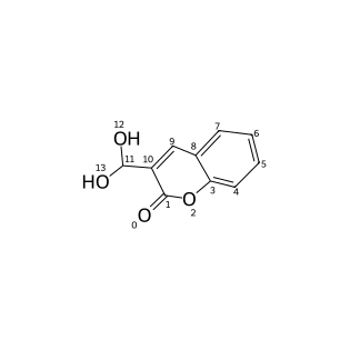 O=c1oc2ccccc2cc1C(O)O